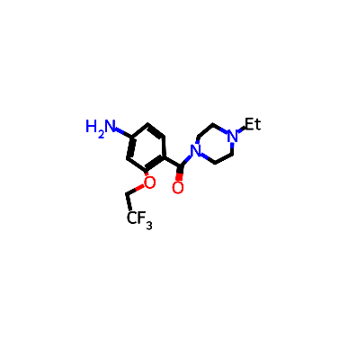 CCN1CCN(C(=O)c2ccc(N)cc2OCC(F)(F)F)CC1